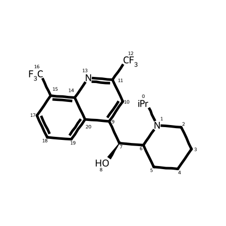 CC(C)N1CCCCC1[C@@H](O)c1cc(C(F)(F)F)nc2c(C(F)(F)F)cccc12